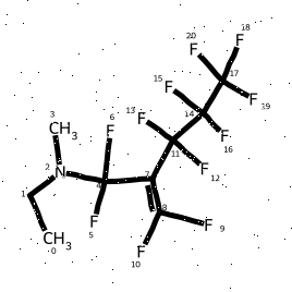 CCN(C)C(F)(F)C(=C(F)F)C(F)(F)C(F)(F)C(F)(F)F